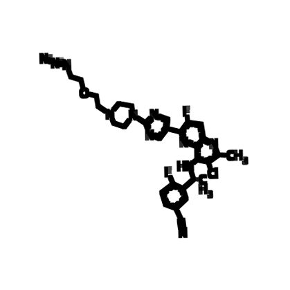 Cc1nc2cc(F)c(-c3cnc(N4CCN(CCOCCN=[N+]=[N-])CC4)nc3)nc2c(N[C@H](C)c2cc(C#N)ccc2F)c1Cl